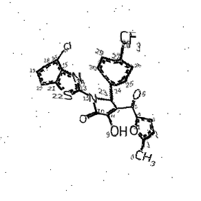 Cc1ccc(C(=O)C2=C(O)C(=O)N(c3nc4c(Cl)cccc4s3)C2c2ccc(C(F)(F)F)cc2)o1